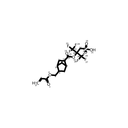 C=CC(=O)OCC1CC2CC1CC2C(=O)OC(CS(=O)(=O)O)(C(F)(F)F)C(F)(F)F